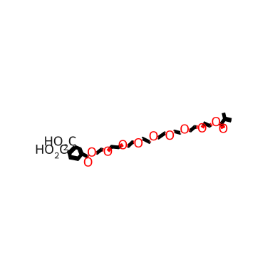 C=C(C)C(=O)OCCOCCOCCOCCOCCOCCOCCOCCOC(=O)c1ccc(C(=O)O)c(C(=O)O)c1